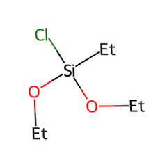 CCO[Si](Cl)(CC)OCC